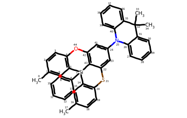 Cc1ccc2c(c1)[Si]1(c3ccccc3)c3cc(C)ccc3Sc3cc(N4c5ccccc5C(C)(C)c5ccccc54)cc(c31)O2